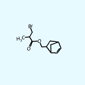 CC(CBr)C(=O)OCC1CC2C=CC1C2